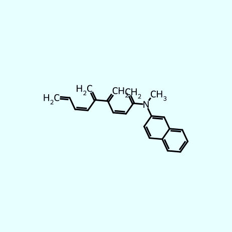 C=C/C=C\C(=C)C(=C)/C=C\C(=C)N(C)c1ccc2ccccc2c1